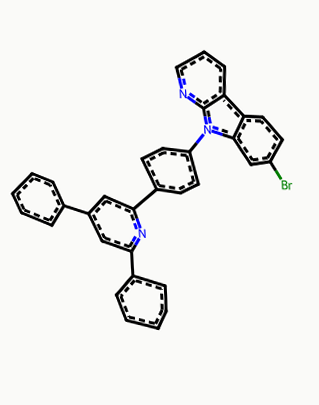 Brc1ccc2c3cccnc3n(-c3ccc(-c4cc(-c5ccccc5)cc(-c5ccccc5)n4)cc3)c2c1